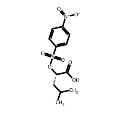 CC(C)C[C@H](OS(=O)(=O)c1ccc([N+](=O)[O-])cc1)C(=O)O